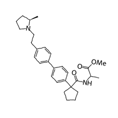 COC(=O)C(C)NC(=O)C1(c2ccc(-c3ccc(CCN4CCC[C@H]4C)cc3)cc2)CCCC1